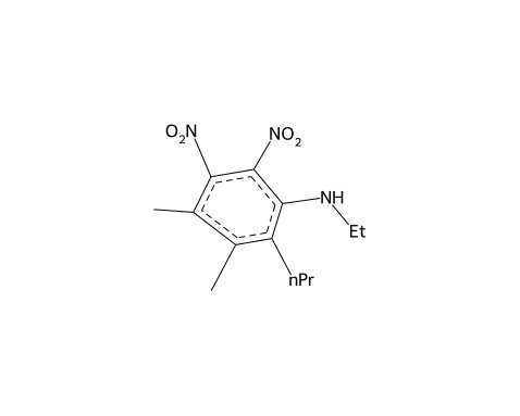 CCCc1c(C)c(C)c([N+](=O)[O-])c([N+](=O)[O-])c1NCC